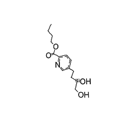 CCCCOC(=O)c1ccc(CC[C@H](O)CO)cn1